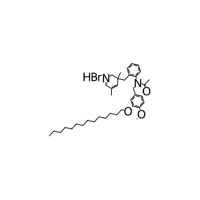 Br.CCCCCCCCCCCCCCOc1cc(CN(C(C)=O)c2ccccc2CC2(C)C=C(C)C=NC2)ccc1OC